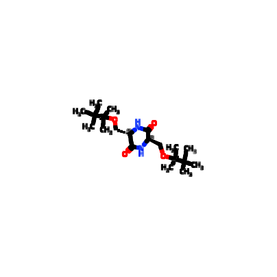 CC(C)(C)[Si](C)(C)OC[C@@H]1NC(=O)[C@@H](CO[Si](C)(C)C(C)(C)C)NC1=O